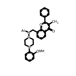 COc1ccccc1N1CCN(N(Cc2cccc3c(=O)c(C)c(-c4ccccc4)oc23)C(C)=O)CC1